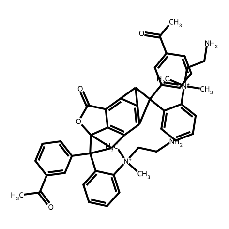 CC(=O)c1cccc(C2(c3ccccc3[N+](C)(C)CCN)c3c4c(c5c6c3C3C6(OC5=O)C3(c3cccc(C(C)=O)c3)c3ccccc3[N+](C)(C)CCN)C42)c1